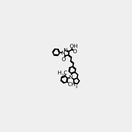 Cc1cccc(C)c1N1c2ccc(/C=C/C=C3\C(=O)N(c4ccccc4)N=C3C(=O)O)cc2CC2CCCC21